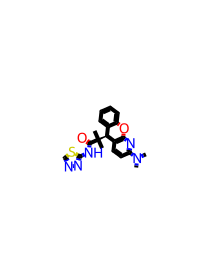 CN(C)c1ccc2c(n1)Oc1ccccc1[C@@H]2C(C)(C)C(=O)Nc1nncs1